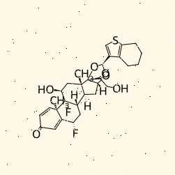 C[C@]12C=CC(=O)C=C1[C@@H](F)C[C@H]1[C@@H]3C[C@H]4O[C@H](c5csc6c5CCCC6)O[C@@]4(C(=O)CO)[C@@]3(C)C[C@H](O)[C@@]12F